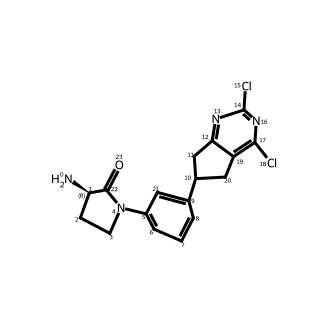 N[C@@H]1CCN(c2cccc(C3Cc4nc(Cl)nc(Cl)c4C3)c2)C1=O